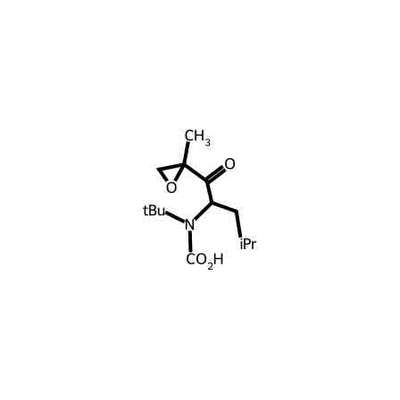 CC(C)CC(C(=O)C1(C)CO1)N(C(=O)O)C(C)(C)C